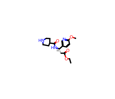 CCOC(=O)C[C@H](NC(=O)C1CCNCC1)c1ccc(OC)nc1